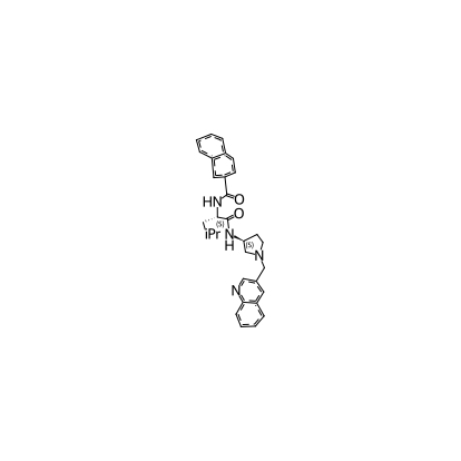 CC(C)C[C@H](NC(=O)c1ccc2ccccc2c1)C(=O)N[C@H]1CCN(Cc2cnc3ccccc3c2)C1